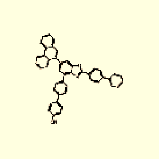 N#Cc1ccc(-c2ccc(-c3cc(-c4cc5ccccc5c5ccccc45)cc4oc(-c5ccc(-c6ccccc6)cc5)nc34)cc2)cc1